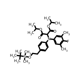 Cc1cc(N(c2ccc(CCO[Si](C)(C)C(C)(C)C)cc2)C(C(=O)OC(C)C)C(=O)OC(C)C)cc(C)c1F